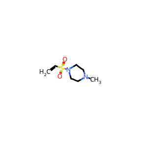 C=CS(=O)(=O)N1CCN(C)CC1